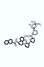 Cc1ccc2c(NC(=O)c3ccc4ccccc4c3)cccc2c1Oc1ncccc1-c1ccnc(N[C@H]2CCCN(C(=O)OC(C)(C)C)C2)n1